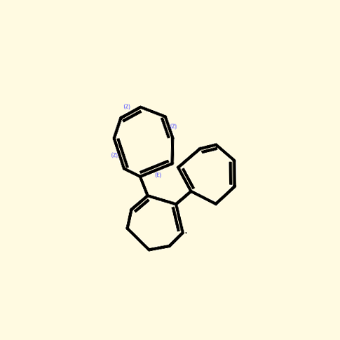 [C]1=C(C2=CC=CC=CC2)C(C2=C/C=C\C=C/C=C\2)=CCCC1